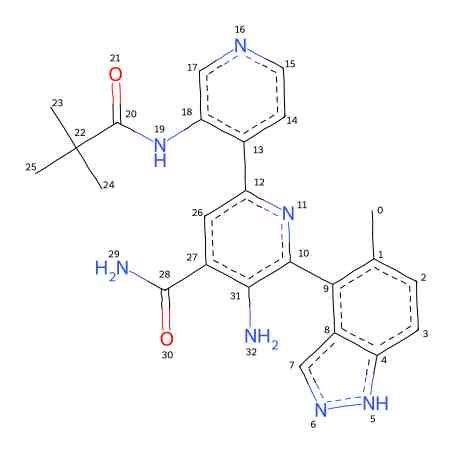 Cc1ccc2[nH]ncc2c1-c1nc(-c2ccncc2NC(=O)C(C)(C)C)cc(C(N)=O)c1N